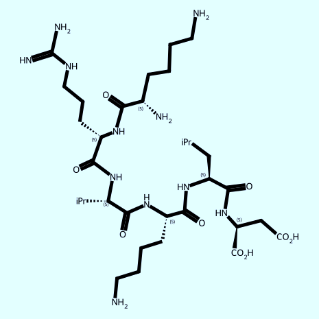 CC(C)C[C@H](NC(=O)[C@H](CCCCN)NC(=O)[C@@H](NC(=O)[C@H](CCCNC(=N)N)NC(=O)[C@@H](N)CCCCN)C(C)C)C(=O)N[C@@H](CC(=O)O)C(=O)O